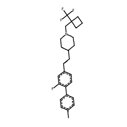 Cc1ccc(-c2ccc(CCC3CCN(CC4(C(F)(F)F)CCC4)CC3)cc2F)cc1